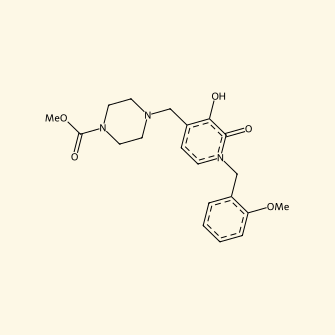 COC(=O)N1CCN(Cc2ccn(Cc3ccccc3OC)c(=O)c2O)CC1